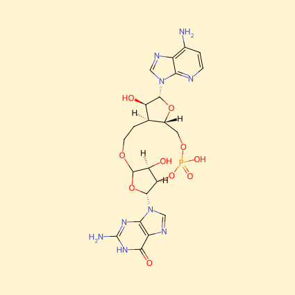 Nc1nc2c(ncn2[C@@H]2OC3OCC[C@H]4[C@@H](O)[C@H](n5cnc6c(N)ccnc65)O[C@@H]4COP(=O)(O)O[C@@H]2[C@@H]3O)c(=O)[nH]1